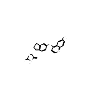 O=C1NC(=O)C([C@@H]2CCc3cc(Oc4ccnc5ccc(C(F)(F)F)cc45)ccc32)S1